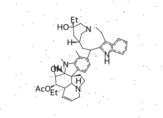 CC[C@]1(O)C[C@@H]2C[N@@](CCc3c([nH]c4ccccc34)[C@@](C)(c3ccc4c(c3C)N(C)[C@H]3[C@](C)(O)[C@H](OC(C)=O)[C@]5(CC)C=CCN6CC[C@]43[C@@H]65)C2)C1